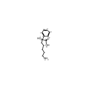 NCCCCCC(O)(C(=O)O)c1ccccc1